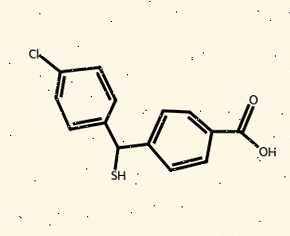 O=C(O)c1ccc(C(S)c2ccc(Cl)cc2)cc1